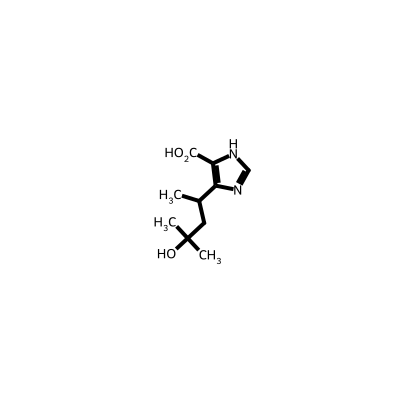 CC(CC(C)(C)O)c1nc[nH]c1C(=O)O